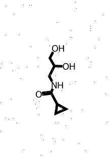 O=C(NCC(O)CO)C1CC1